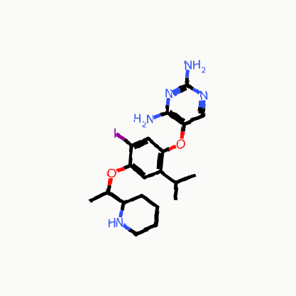 CC(C)c1cc(OC(C)C2CCCCN2)c(I)cc1Oc1cnc(N)nc1N